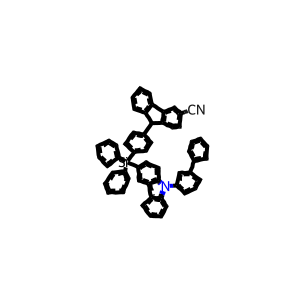 N#Cc1ccc2c(c1)-c1ccccc1C2c1ccc([Si](c2ccccc2)(c2ccccc2)c2ccc3c(c2)c2ccccc2n3-c2cccc(-c3ccccc3)c2)cc1